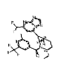 CC[C@H]1CC[C@H]2C(c3cc(C(F)F)nc4ncnn34)[C@H]2N1C(=O)c1cc(C)nc(C(F)(F)F)c1